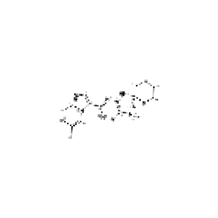 N#CC1(Nc2nc(-c3cnc4ccc(F)cn34)ncc2[N+](=O)[O-])CCCCC1